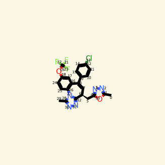 Cc1nnc(C[C@@H]2C=C(c3ccc(Cl)cc3)c3cc(OC(F)(F)F)ccc3-n3c(C)nnc32)o1